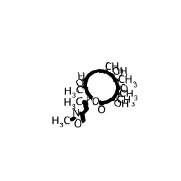 CC(=Cc1coc(C)n1)[C@@H]1C[C@]2(C)O[C@@H]2CCC[C@H](C)[C@H](O)[C@@H](C)C(=O)C(C)(C)[C@@H](O)CC(=O)O1